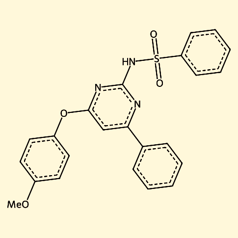 COc1ccc(Oc2cc(-c3ccccc3)nc(NS(=O)(=O)c3ccccc3)n2)cc1